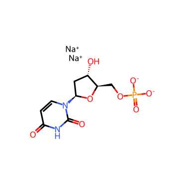 O=c1ccn([C@H]2C[C@H](O)[C@@H](COP(=O)([O-])[O-])O2)c(=O)[nH]1.[Na+].[Na+]